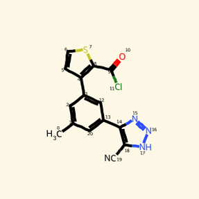 Cc1cc(-c2ccsc2C(=O)Cl)cc(-c2nn[nH]c2C#N)c1